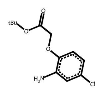 CC(C)(C)OC(=O)COc1ccc(Cl)cc1N